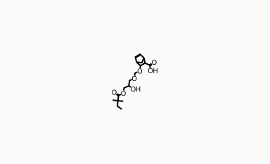 CCC(C)(C)C(=O)OCC(O)COCOC1C2C=CC(C2)C1C(=O)O